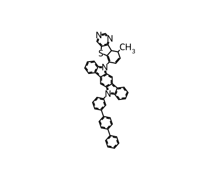 CC1C=CC(n2c3ccccc3c3cc4c(cc32)c2ccccc2n4-c2cccc(-c3ccc(-c4ccccc4)cc3)c2)=C2Sc3cncnc3C21